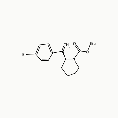 C=C(c1ccc(Br)cc1)[C@@H]1CCCCN1C(=O)OC(C)(C)C